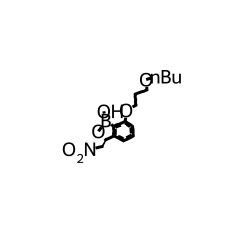 CCCCOCCCOc1cccc2c1B(O)O[C@@H]2C[N+](=O)[O-]